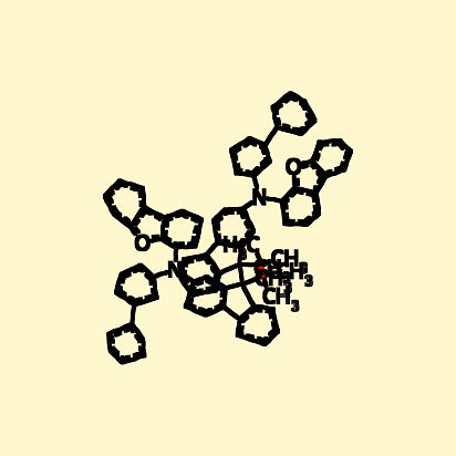 CC(C)(C)C1(C2(C(C)(C)C)c3ccccc3-c3ccc(N(c4cccc(-c5ccccc5)c4)c4cccc5c4oc4ccccc45)cc32)c2ccccc2-c2ccc(N(c3cccc(-c4ccccc4)c3)c3cccc4c3oc3ccccc34)cc21